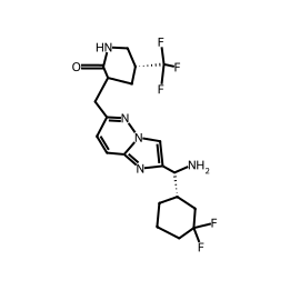 NC(c1cn2nc(CC3C[C@@H](C(F)(F)F)CNC3=O)ccc2n1)[C@H]1CCCC(F)(F)C1